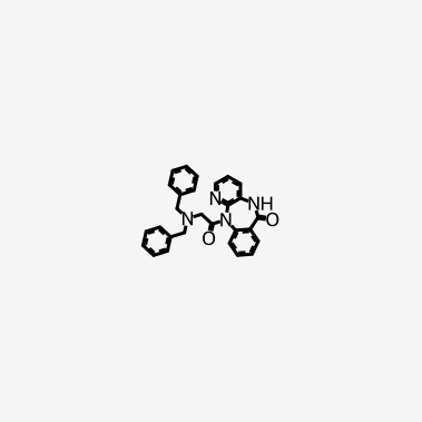 O=C1Nc2cccnc2N(C(=O)CN(Cc2ccccc2)Cc2ccccc2)c2ccccc21